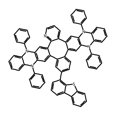 c1ccc(-n2c3ccccc3n(-c3ccccc3)c3cc4c(cc32)c2ccc(-c3cccc5c3sc3ccccc35)cc2c2cc3c(cc2c2ncccc42)n(-c2ccccc2)c2ccccc2n3-c2ccccc2)cc1